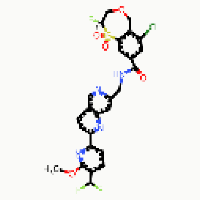 COc1nc(-c2ccc3cnc(CNC(=O)c4cc(Cl)c5c(c4)S(=O)(=O)[C@@H](F)COC5)cc3n2)ccc1C(F)F